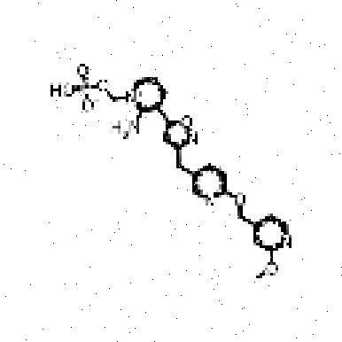 COc1cc(COc2ccc(Cc3cc(-c4ccc[n+](COP(=O)([O-])O)c4N)on3)cn2)ccn1